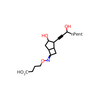 CCCCCC(O)C#CC1C(O)CC2C(=NOCCCC(=O)O)CC21